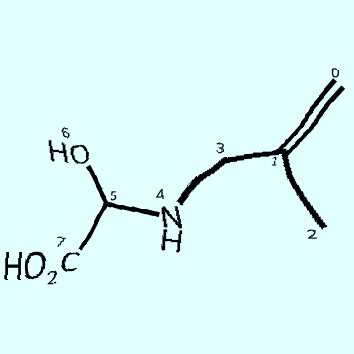 C=C(C)CNC(O)C(=O)O